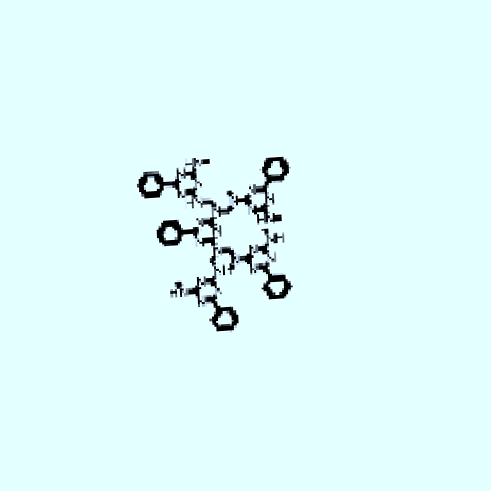 CNc1nc(NCN(CN(C)c2nc(NC)nc(-c3ccccc3)n2)c2nc(-c3ccccc3)nc(N(CNc3nc(NC)nc(-c4ccccc4)n3)CN(C)c3nc(NC)nc(-c4ccccc4)n3)n2)nc(-c2ccccc2)n1